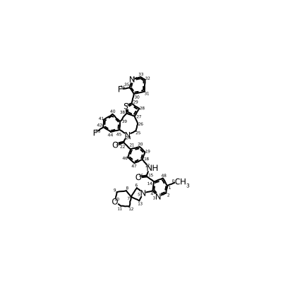 Cc1cnc(N2CC3(CCOCC3)C2)c(C(=O)Nc2ccc(C(=O)N3CCc4cc(-c5cccnc5F)sc4-c4ccc(F)cc43)cc2)c1